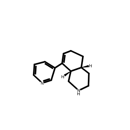 C1=C(c2cccnc2)[C@H]2CNCC[C@H]2CC1